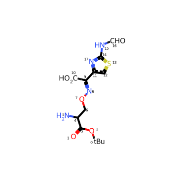 CC(C)(C)OC(=O)C(N)CON=C(C(=O)O)c1csc(NC=O)n1